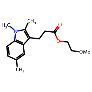 COCCOC(=O)CCc1c(C)n(C)c2ccc(C)cc12